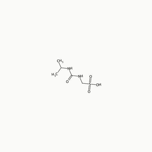 CC(C)NC(=O)NCS(=O)(=O)O